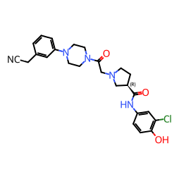 N#CCc1cccc(N2CCN(C(=O)CN3CC[C@@H](C(=O)Nc4ccc(O)c(Cl)c4)C3)CC2)c1